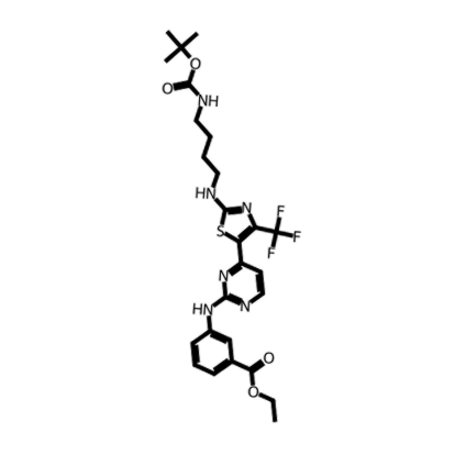 CCOC(=O)c1cccc(Nc2nccc(-c3sc(NCCCCNC(=O)OC(C)(C)C)nc3C(F)(F)F)n2)c1